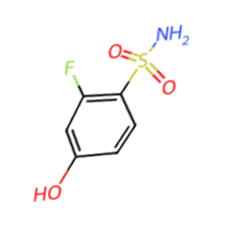 NS(=O)(=O)c1ccc(O)cc1F